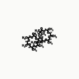 CCC(C)(C)C(=O)OCC(C)OCC(C)OCC(C)OCC(C)OCC(C)OCC(C)OCC(C)OCC(C)OCC(C)OCC(C)OC